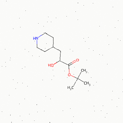 CC(C)(C)OC(=O)C(O)CC1CCNCC1